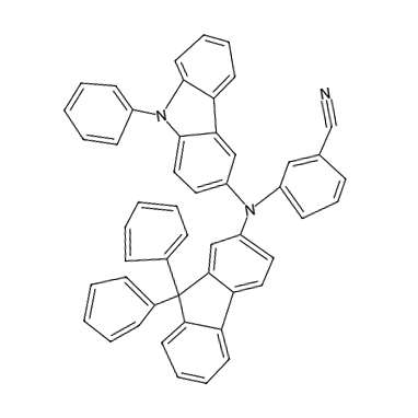 N#Cc1cccc(N(c2ccc3c(c2)C(c2ccccc2)(c2ccccc2)c2ccccc2-3)c2ccc3c(c2)c2ccccc2n3-c2ccccc2)c1